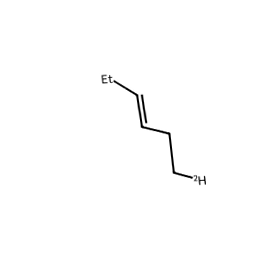 [2H]CCC=CCC